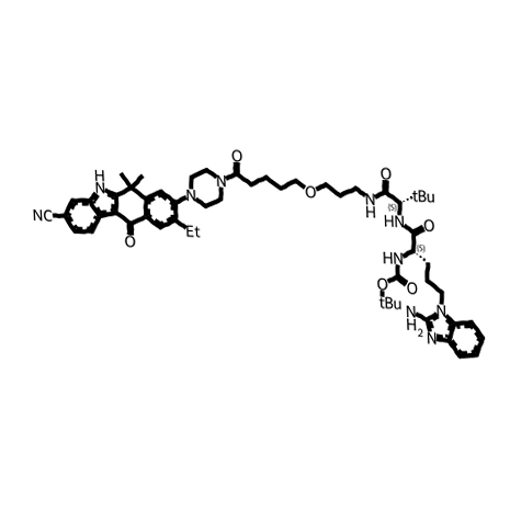 CCc1cc2c(cc1N1CCN(C(=O)CCCCOCCCNC(=O)[C@@H](NC(=O)[C@H](CCCn3c(N)nc4ccccc43)NC(=O)OC(C)(C)C)C(C)(C)C)CC1)C(C)(C)c1[nH]c3cc(C#N)ccc3c1C2=O